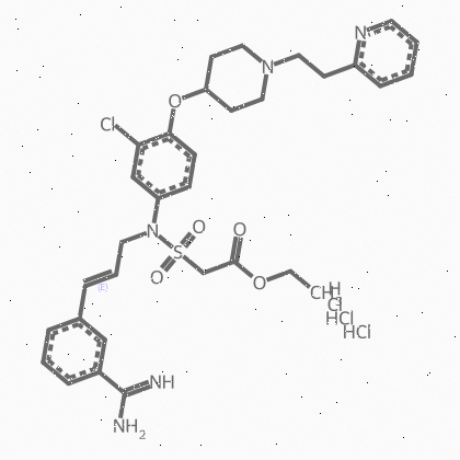 CCOC(=O)CS(=O)(=O)N(C/C=C/c1cccc(C(=N)N)c1)c1ccc(OC2CCN(CCc3ccccn3)CC2)c(Cl)c1.Cl.Cl.Cl